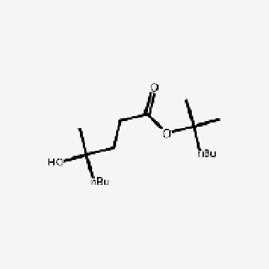 CCCCC(C)(O)CCC(=O)OC(C)(C)CCCC